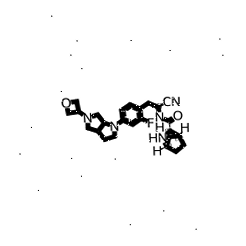 N#C[C@H](Cc1ccc(N2CCC3CN(C4COC4)CC32)cc1F)NC(=O)[C@H]1N[C@@H]2CC[C@H]1C2